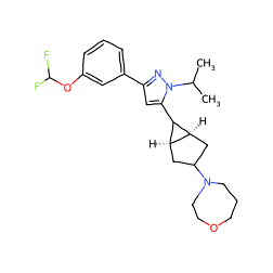 CC(C)n1nc(-c2cccc(OC(F)F)c2)cc1C1[C@H]2CC(N3CCCOCC3)C[C@@H]12